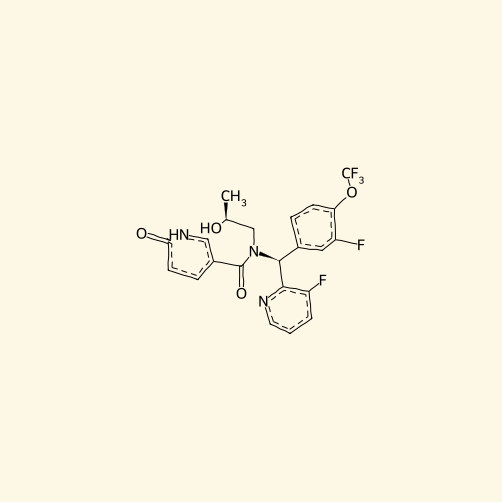 C[C@H](O)CN(C(=O)c1ccc(=O)[nH]c1)[C@@H](c1ccc(OC(F)(F)F)c(F)c1)c1ncccc1F